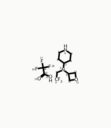 FC(F)(F)CN(C1CCNCC1)C1COC1.O=C(O)C(F)(F)F